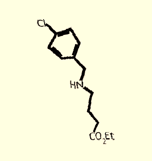 CCOC(=O)CCCNCc1ccc(Cl)cc1